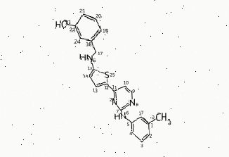 Cc1cccc(Nc2nccc(-c3ccc(NCc4cccc(O)c4)s3)n2)c1